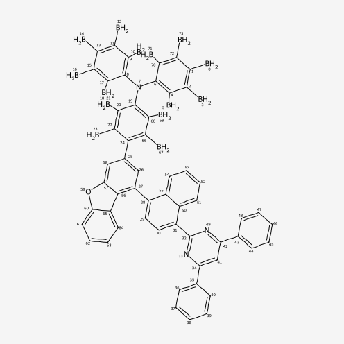 Bc1c(B)c(B)c(N(c2c(B)c(B)c(B)c(B)c2B)c2c(B)c(B)c(-c3cc(-c4ccc(-c5nc(-c6ccccc6)cc(-c6ccccc6)n5)c5ccccc45)c4c(c3)oc3ccccc34)c(B)c2B)c(B)c1B